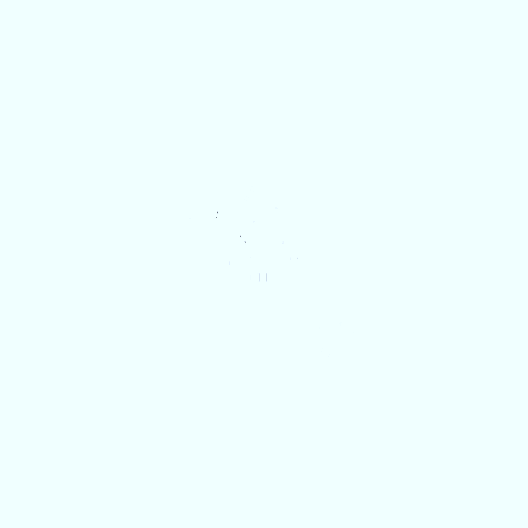 CC(ON1C(C)(C)CC2(CC1(C)C)OCC(COCc1ccccc1)O2)c1ccccc1